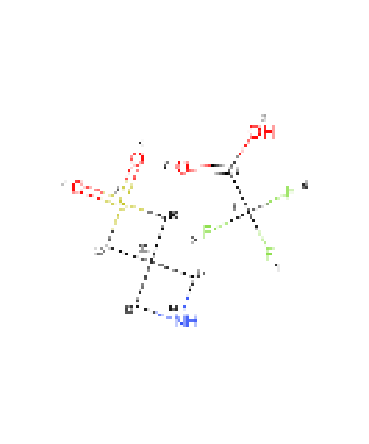 O=C(O)C(F)(F)F.O=S1(=O)CC2(CNC2)C1